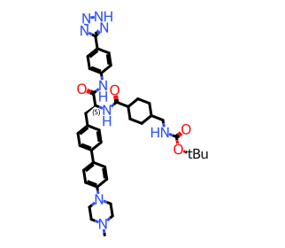 CN1CCN(c2ccc(-c3ccc(C[C@H](NC(=O)C4CCC(CNC(=O)OC(C)(C)C)CC4)C(=O)Nc4ccc(-c5nn[nH]n5)cc4)cc3)cc2)CC1